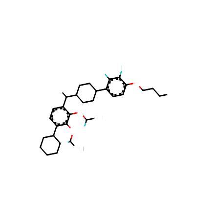 CCCCOc1ccc(C2CCC(C(C)c3ccc(C4CCCCC4)c(OC(C)F)c3OC(C)F)CC2)c(F)c1F